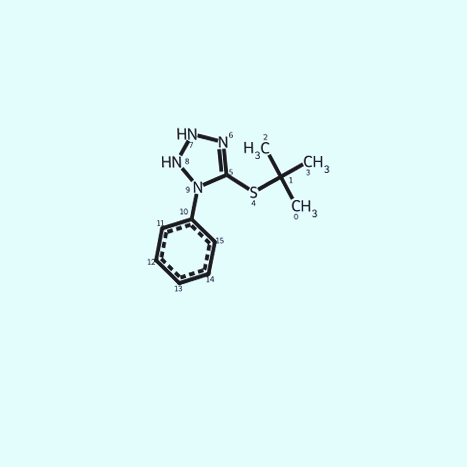 CC(C)(C)SC1=NNNN1c1ccccc1